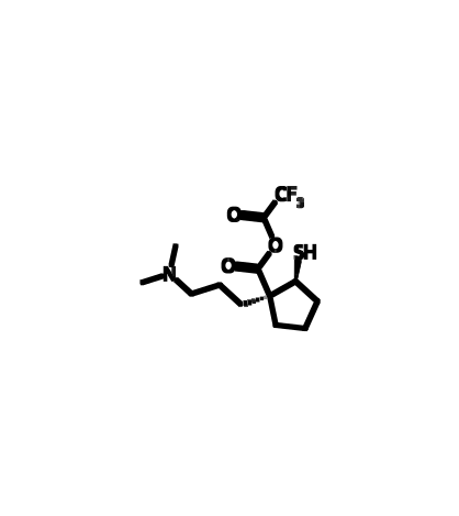 CN(C)CCC[C@@]1(C(=O)OC(=O)C(F)(F)F)CCC[C@@H]1S